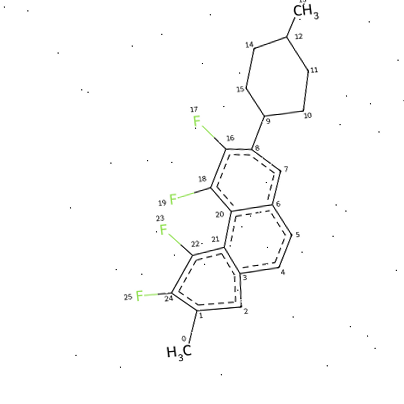 Cc1cc2ccc3cc(C4CCC(C)CC4)c(F)c(F)c3c2c(F)c1F